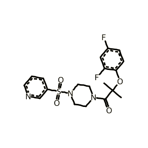 CC(C)(Oc1ccc(F)cc1F)C(=O)N1CCN(S(=O)(=O)c2cccnc2)CC1